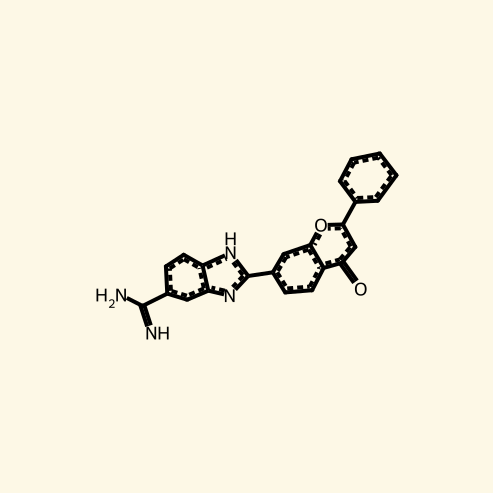 N=C(N)c1ccc2[nH]c(-c3ccc4c(=O)cc(-c5ccccc5)oc4c3)nc2c1